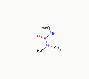 [CH2]ONC(=O)N(C)C